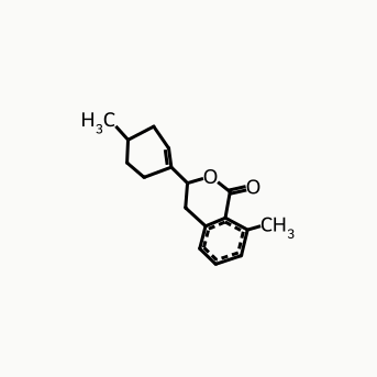 Cc1cccc2c1C(=O)OC(C1=CCC(C)CC1)C2